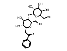 O=C(C[C@@H]1O[C@H](CO)[C@@H](O[C@@H]2O[C@H](CO)[C@H](O)[C@H](O)[C@H]2O)[C@H](O)[C@H]1O)c1ccccc1